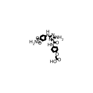 Nc1nc(Nc2ccc(S(N)(=O)=O)cc2)nn1C(=O)Nc1ccc(OCC(=O)O)cc1